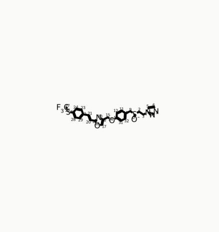 [O-][S+](CCn1ccnn1)Cc1ccc(OCc2coc(C=Cc3ccc(SC(F)(F)F)cc3)n2)cc1